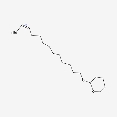 CCCC/C=C\CCCCCCCCCCOC1CCCCO1